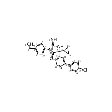 C=Cc1ccc(N2C(=N)NC(c3cccc(-c4ccc(Cl)cc4)c3)(C3CC3)C2=O)cc1